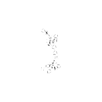 N#Cc1ccc(C[C@]23N=C(c4ccccc4)O[C@H]2c2ccccc2CN(CCS(=O)(=O)c2ccc(-c4ccc(C5=N[C@]6(Cc7nccs7)C(=O)N(CCS(=O)(=O)c7ccccc7)Cc7ccccc7[C@@H]6O5)cc4)cc2)C3=O)cc1